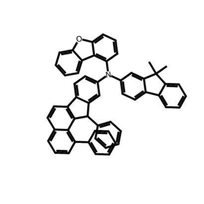 CC1(C)c2ccccc2-c2ccc(N(c3ccc4c(c3)C(c3ccccc3)c3c-4ccc4cccc(-c5ccccc5)c34)c3cccc4oc5ccccc5c34)cc21